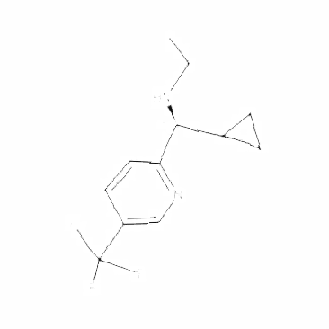 CCN[C@H](c1ccc(C(F)(F)F)cn1)C1CC1